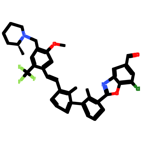 COc1cc(/C=C/c2cccc(-c3cccc(-c4nc5cc(C=O)cc(Cl)c5o4)c3C)c2C)c(C(F)(F)F)cc1CN1CCCC[C@H]1C